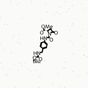 COC(=O)[C@@H]1CC(=O)N1C(=O)Nc1ccc(CNC(=O)OC(C)(C)C)cc1